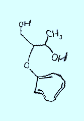 CC(O)C(CO)Oc1ccccc1